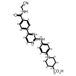 N#CCNC(=O)c1ccc(-c2ccnc(Nc3ccc(N4CCC(C(=O)O)CC4)cc3)n2)cc1